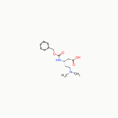 CN(C)CC[C@@H](CC(=O)O)NC(=O)OCc1ccccc1